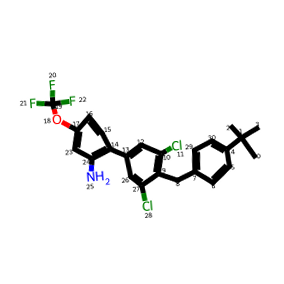 CC(C)(C)c1ccc(Cc2c(Cl)cc(-c3ccc(OC(F)(F)F)cc3N)cc2Cl)cc1